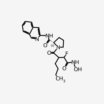 CCCCC(C(=O)N1CCC[C@H]1C(=O)Nc1cc2ccccc2cn1)C(F)C(=O)NO